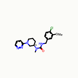 COc1cc(CNC(=O)N(C)[C@@H]2CCCN(c3cccnn3)C2)ccc1Cl